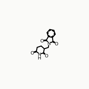 O=C1CCC(CN2C(=O)c3ccccc3C2=O)C(=O)N1